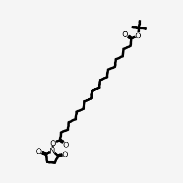 CC(C)(C)OC(=O)CCCCCCCCCCCCCCCCCCC(=O)ON1C(=O)CCC1=O